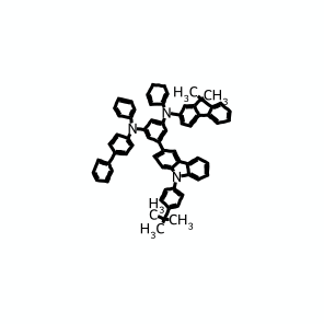 CC(C)(C)c1ccc(-n2c3ccccc3c3cc(-c4cc(N(C5=CCCC=C5)c5ccc6c(c5)C(C)(C)c5ccccc5-6)cc(N(c5ccccc5)c5ccc(-c6ccccc6)cc5)c4)ccc32)cc1